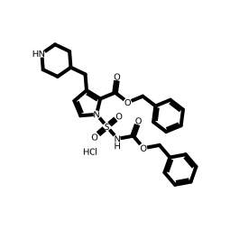 Cl.O=C(NS(=O)(=O)n1ccc(CC2CCNCC2)c1C(=O)OCc1ccccc1)OCc1ccccc1